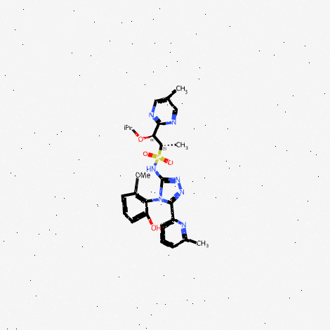 COc1cccc(O)c1-n1c(NS(=O)(=O)[C@@H](C)[C@@H](OC(C)C)c2ncc(C)cn2)nnc1C1=C=C=CC(C)=N1